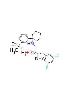 CCC(C)(C)c1cccc(C2(NC[C@@H](O)[C@H](Cc3cc(F)cc(F)c3)NC(C)=O)CCCCC2)c1